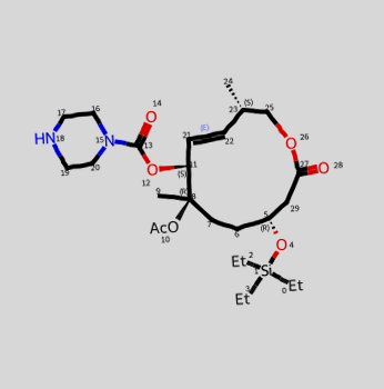 CC[Si](CC)(CC)O[C@@H]1CC[C@@](C)(OC(C)=O)[C@@H](OC(=O)N2CCNCC2)/C=C/[C@H](C)COC(=O)C1